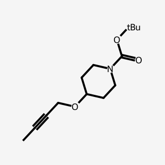 CC#CCOC1CCN(C(=O)OC(C)(C)C)CC1